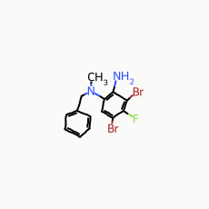 CN(Cc1ccccc1)c1cc(Br)c(F)c(Br)c1N